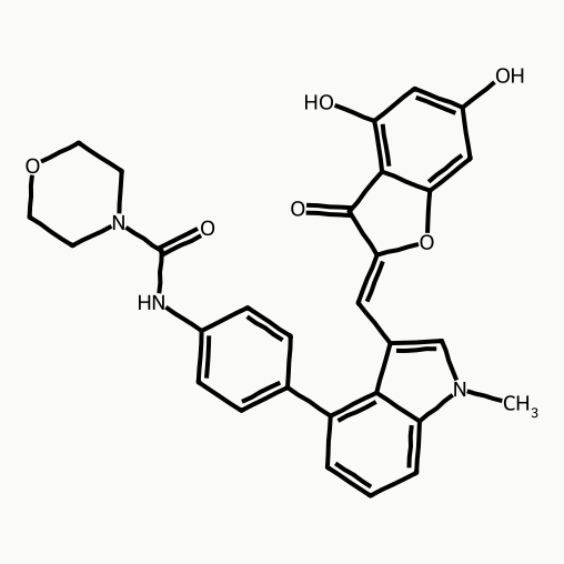 Cn1cc(C=C2Oc3cc(O)cc(O)c3C2=O)c2c(-c3ccc(NC(=O)N4CCOCC4)cc3)cccc21